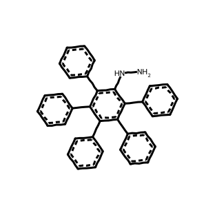 NNc1c(-c2ccccc2)c(-c2ccccc2)c(-c2ccccc2)c(-c2ccccc2)c1-c1ccccc1